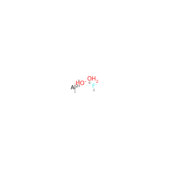 O.[Al+2].[F-].[OH-]